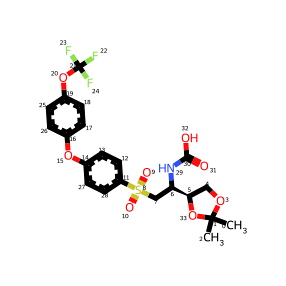 CC1(C)OC[C@H](C(CS(=O)(=O)c2ccc(Oc3ccc(OC(F)(F)F)cc3)cc2)NC(=O)O)O1